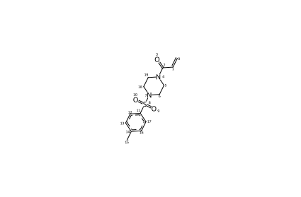 C=CC(=O)N1CCN(S(=O)(=O)c2ccc(C)cc2)CC1